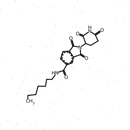 CCCCCCCNC(=O)c1ccc2c(c1)C(=O)N(C1CCC(=O)NC1=O)C2=O